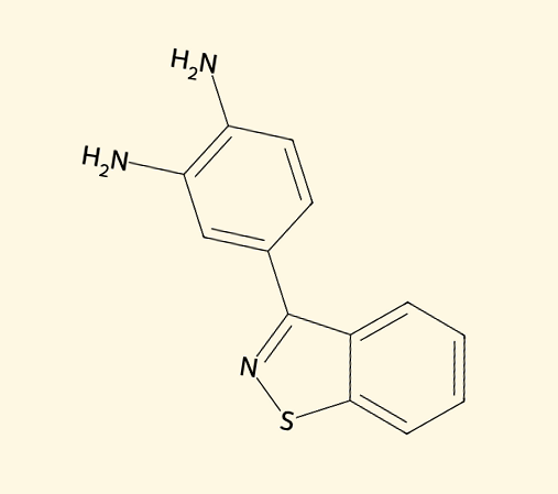 Nc1ccc(-c2nsc3ccccc23)cc1N